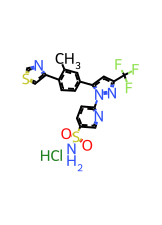 Cc1cc(-c2cc(C(F)(F)F)nn2-c2ccc(S(N)(=O)=O)cn2)ccc1-c1cscn1.Cl